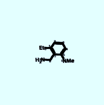 CCc1cccc(NC)c1CN